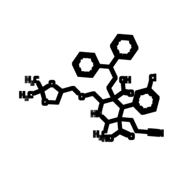 CC1NC(COCC2COC(C)(C)O2)C(CCC(c2ccccc2)c2ccccc2)(C(=O)O)C(c2cccc(Cl)c2)C1(CCC#N)C(=O)O